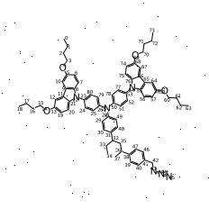 CCCCOc1ccc2c(c1)c1cc(OCCCC)ccc1n2-c1ccc(N(c2ccc(C(CC)CC(C)c3ccc(CN=[N+]=[N-])cc3)cc2)c2ccc(-n3c4ccc(OCCCC)cc4c4cc(OCCCC)ccc43)cc2)cc1